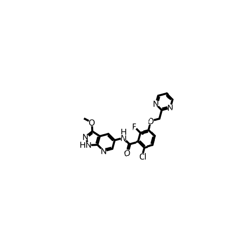 COc1n[nH]c2ncc(NC(=O)c3c(Cl)ccc(OCc4ncccn4)c3F)cc12